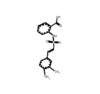 Cc1ccc(/C=C/S(=O)(=O)Nc2ccccc2C(=O)O)cc1C